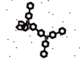 C1=C\C(N(c2ccc(-c3ccccc3)cc2)c2ccc(-c3ccc(N(c4ccc(-c5ccccc5)cc4)c4ccc(-c5ccccc5)cc4)cc3)cc2)=C/CC/C=C/1c1ccccc1